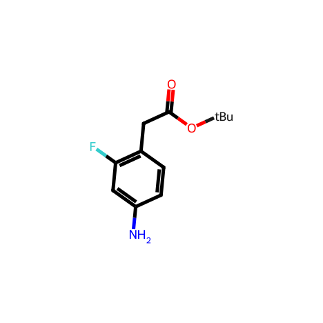 CC(C)(C)OC(=O)Cc1ccc(N)cc1F